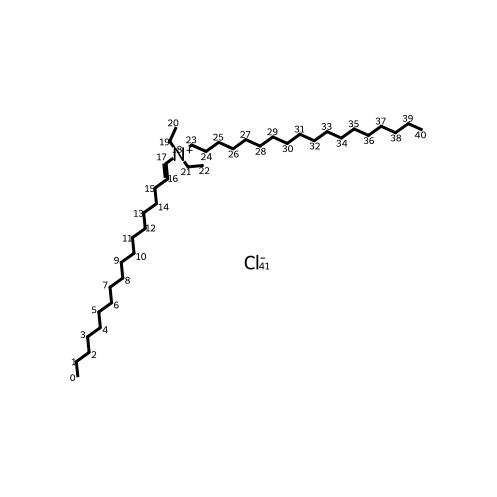 CCCCCCCCCCCCCCCCC=C[N+](CC)(CC)CCCCCCCCCCCCCCCCCC.[Cl-]